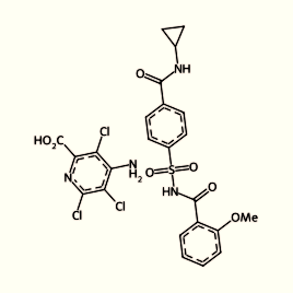 COc1ccccc1C(=O)NS(=O)(=O)c1ccc(C(=O)NC2CC2)cc1.Nc1c(Cl)c(Cl)nc(C(=O)O)c1Cl